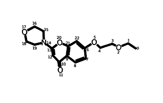 CCOCCOc1ccc2c(=O)cc(N3CCOCC3)oc2c1